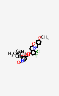 COc1ccc(CN2C(=O)CCc3c(OC[C@]4(O)CCN([C]=O)C[C@H]4O[Si](C)(C)C(C)(C)C)cc(F)c(Cl)c32)cc1